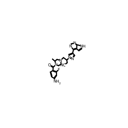 CC1CN(CC(CC#N)n2cc(-c3ncnc4[nH]ccc34)cn2)CCN1C(=O)c1ccc(N)cc1F